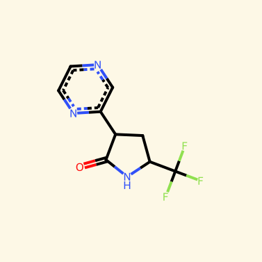 O=C1NC(C(F)(F)F)CC1c1cnccn1